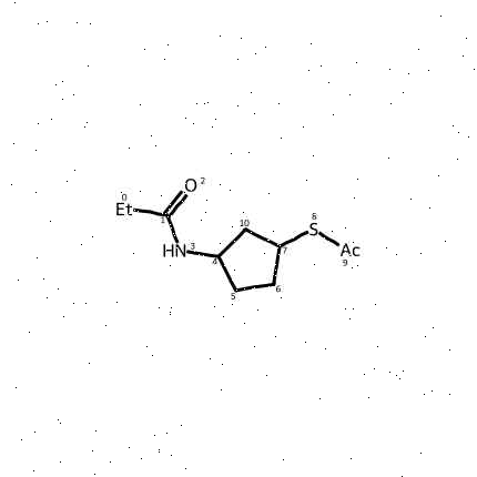 CCC(=O)NC1CCC(SC(C)=O)C1